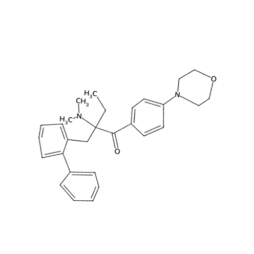 CCC(Cc1ccccc1-c1ccccc1)(C(=O)c1ccc(N2CCOCC2)cc1)N(C)C